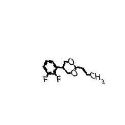 C/C=C/C1OCC(c2cccc(F)c2F)CO1